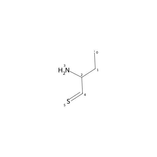 [CH2]CC(N)C=S